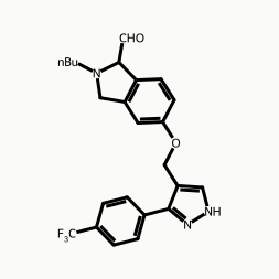 CCCCN1Cc2cc(OCc3c[nH]nc3-c3ccc(C(F)(F)F)cc3)ccc2C1C=O